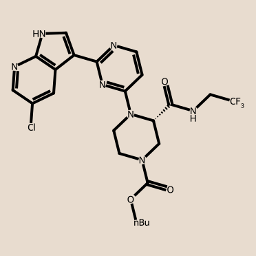 CCCCOC(=O)N1CCN(c2ccnc(-c3c[nH]c4ncc(Cl)cc34)n2)[C@H](C(=O)NCC(F)(F)F)C1